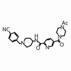 CC(=O)N1CCN(C(=O)c2ccc(C(=O)NC3CCN(Cc4ccc(C#N)cc4)CC3)nc2)CC1